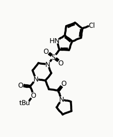 CC(C)(C)OC(=O)N1CCN(S(=O)(=O)c2cc3cc(Cl)ccc3[nH]2)CC1CC(=O)N1CCCC1